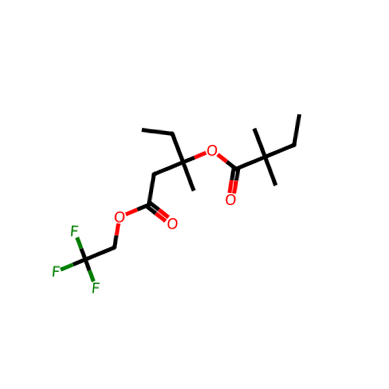 CCC(C)(CC(=O)OCC(F)(F)F)OC(=O)C(C)(C)CC